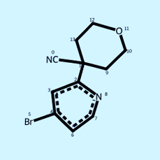 N#CC1(c2cc(Br)ccn2)CCOCC1